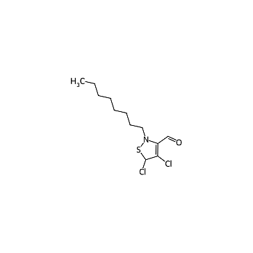 CCCCCCCCN1SC(Cl)C(Cl)=C1C=O